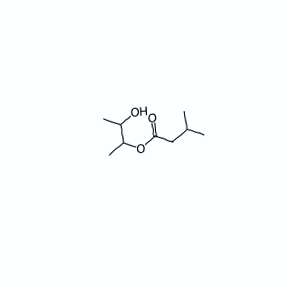 CC(C)CC(=O)OC(C)C(C)O